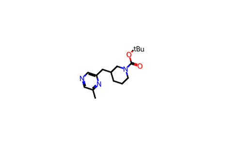 Cc1cncc(CC2CCCN(C(=O)OC(C)(C)C)C2)n1